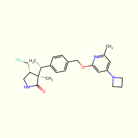 Cc1cc(N2CCC2)cc(OCc2ccc([C@@H](C)[C@@]3(C)C(=O)NC[C@@H]3C[18F])cc2)n1